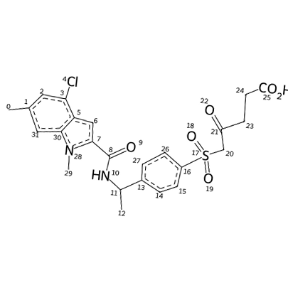 Cc1cc(Cl)c2cc(C(=O)NC(C)c3ccc(S(=O)(=O)CC(=O)CCC(=O)O)cc3)n(C)c2c1